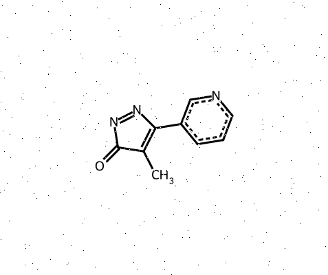 CC1=C(c2cccnc2)N=NC1=O